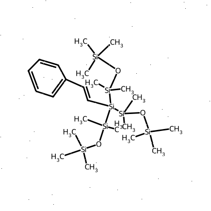 C[Si](C)(C)O[Si](C)(C)[Si](C=Cc1ccccc1)([Si](C)(C)O[Si](C)(C)C)[Si](C)(C)O[Si](C)(C)C